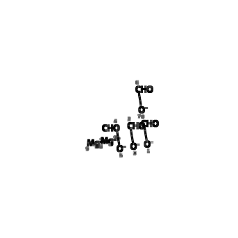 O=C[O-].O=C[O-].O=C[O-].O=C[O-].[Mg+2].[Mg+2]